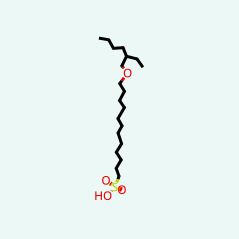 CCCCC(CC)COCCCCCCCCCCCCS(=O)(=O)O